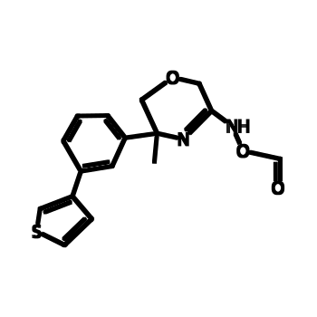 CC1(c2cccc(-c3ccsc3)c2)COCC(NOC=O)=N1